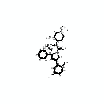 CN1CC[C@@H](N(C)C(=O)N2CC(c3cc(F)ccc3F)=C[C@@]2(CO)c2ccccc2)[C@H](F)C1